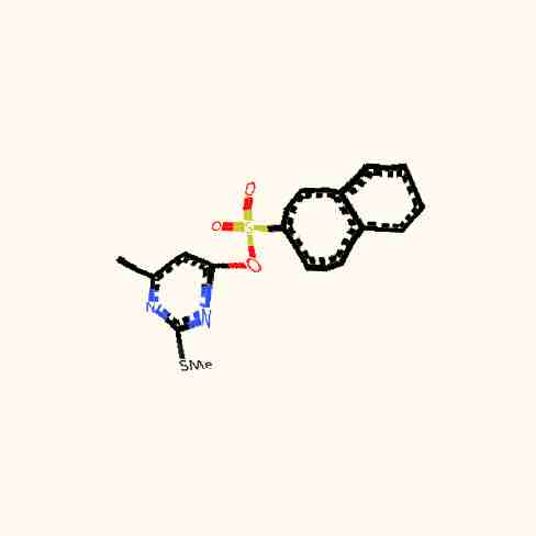 CSc1nc(C)cc(OS(=O)(=O)c2ccc3ccccc3c2)n1